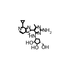 Cc1nc(N)nc(N[C@@H]2C[C@H](CO)[C@@H](O)[C@H]2O)c1-c1nc2c(C3CC3)nccc2s1